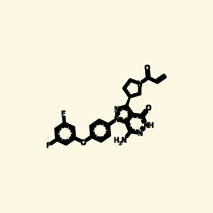 C=CC(=O)N1CC[C@H](c2nn(-c3ccc(Oc4cc(F)cc(F)c4)cc3)c3c(N)n[nH]c(=O)c23)C1